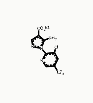 CCOC(=O)c1cnn(-c2ncc(C(F)(F)F)cc2Cl)c1N